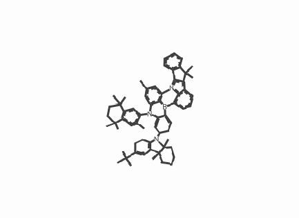 Cc1cc2c3c(c1)-n1c4c(c5cccc(c51)B3C1=CCC(N3C5=C(C=C(C(C)(C)C)CC5)C5(C)CCCCC35C)C=C1N2c1cc2c(cc1C)C(C)(C)CCC2(C)C)C(C)(C)c1ccccc1-4